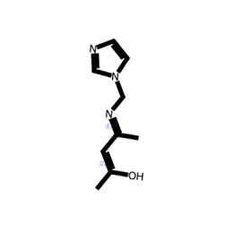 C/C(O)=C/C(C)=N/Cn1ccnc1